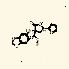 CC(C)OC(=O)[C@]1(Nc2ccc3c(c2)OCO3)C[C@H](c2ccco2)OC1=O